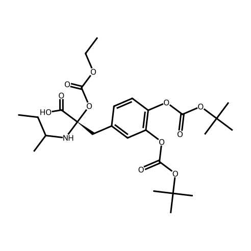 CCOC(=O)O[C@](Cc1ccc(OC(=O)OC(C)(C)C)c(OC(=O)OC(C)(C)C)c1)(NC(C)CC)C(=O)O